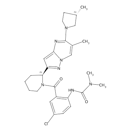 Cc1cn2nc([C@@H]3CCCCN3C(=O)c3cc(Cl)ccc3NC(=O)N(C)C)cc2nc1N1CC[C@H](C)C1